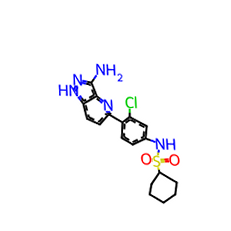 Nc1n[nH]c2ccc(-c3ccc(NS(=O)(=O)C4CCCCC4)cc3Cl)nc12